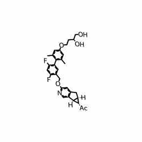 CC(=O)[C@H]1[C@@H]2Cc3cc(OCc4cc(-c5c(C)cc(OCC[C@H](O)CO)cc5C)c(F)cc4F)ncc3[C@@H]21